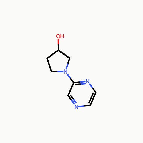 OC1CCN(c2cnccn2)C1